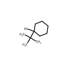 CC(C)(C)C1(S)CCCCC1